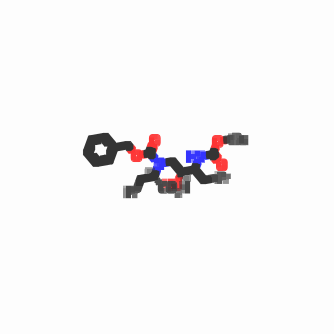 CC(C)CC(NC(=O)OC(C)(C)C)[C@@H](O)CN(C(=O)OCc1ccccc1)[C@@H](CC(C)C)C(=O)O